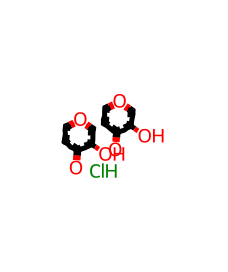 Cl.O=c1ccocc1O.O=c1ccocc1O